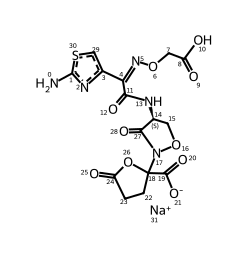 Nc1nc(C(=NOCC(=O)O)C(=O)N[C@H]2CON(C3(C(=O)[O-])CCC(=O)O3)C2=O)cs1.[Na+]